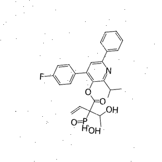 C=CC(C(=O)Oc1c(-c2ccc(F)cc2)cc(-c2ccccc2)nc1C(C)C)(C(C)O)[PH](=O)O